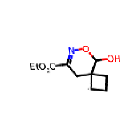 CCOC(=O)C1=NOC(O)C2([CH]CC2)C1